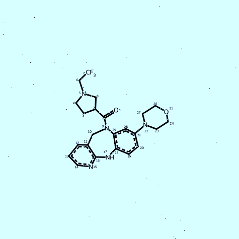 O=C(C1CCN(CC(F)(F)F)C1)N1Cc2cccnc2Nc2ccc(N3CCOCC3)cc21